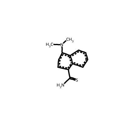 CN(C)c1ccc(C(N)=S)c2ccccc12